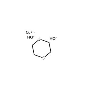 C1CSCCS1.[Cu+2].[OH-].[OH-]